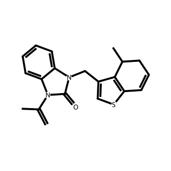 C=C(C)n1c(=O)n(Cc2csc3c2C(C)CC=C3)c2ccccc21